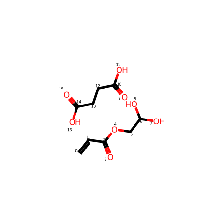 C=CC(=O)OCC(O)O.O=C(O)CCC(=O)O